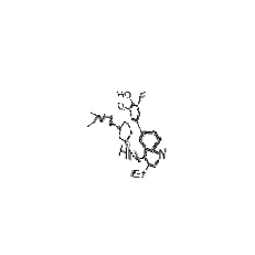 CCc1cnc2ccc(-c3cc(F)c(O)c(Cl)c3)cc2c1N[C@H]1CCC[C@H](CCN(C)C)C1